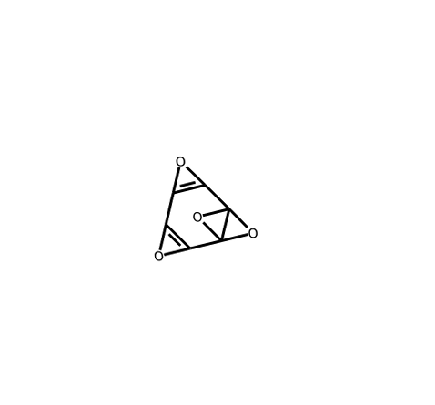 O1C2=C1C13OC1(O3)C1=C2O1